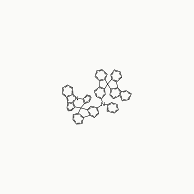 c1ccc(N(c2ccc3c(c2)C2(c4ccccc4-3)c3ccccc3-c3c2ccc2ccccc32)c2ccc3c(c2)C2(c4ccccc4-3)c3ccccc3-n3c4ccccc4c4cccc2c43)cc1